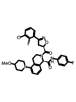 COC1CCN(c2cccc3c2CCN(C(=O)[C@H]2CC(c4cccc(Cl)c4F)=NO2)[C@H]3C(=O)Nc2ccc(F)cc2)CC1